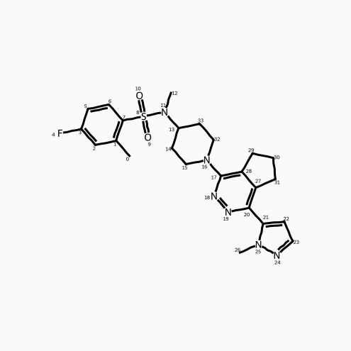 Cc1cc(F)ccc1S(=O)(=O)N(C)C1CCN(c2nnc(-c3ccnn3C)c3c2CCC3)CC1